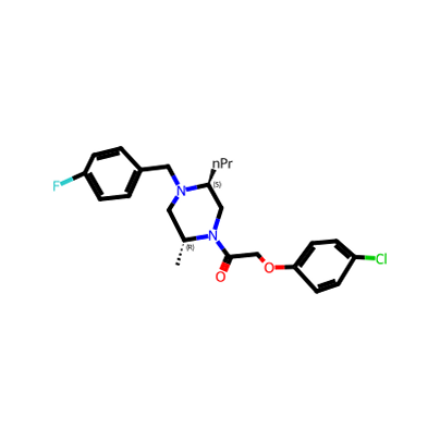 CCC[C@H]1CN(C(=O)COc2ccc(Cl)cc2)[C@H](C)CN1Cc1ccc(F)cc1